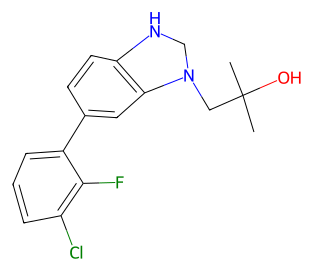 CC(C)(O)CN1CNc2ccc(-c3cccc(Cl)c3F)cc21